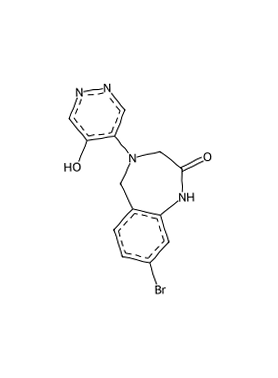 O=C1CN(c2cnncc2O)Cc2ccc(Br)cc2N1